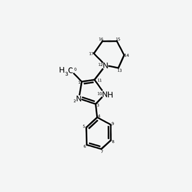 Cc1nc(-c2ccccc2)[nH]c1N1CCCCC1